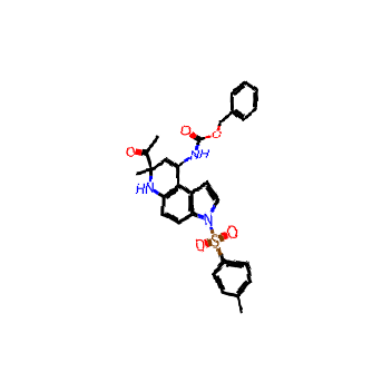 CC(=O)C1(C)CC(NC(=O)OCc2ccccc2)c2c(ccc3c2ccn3S(=O)(=O)c2ccc(C)cc2)N1